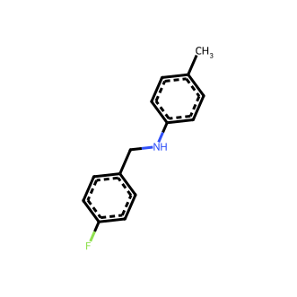 Cc1ccc(NCc2ccc(F)cc2)cc1